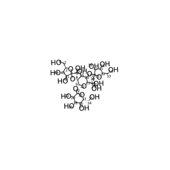 OC[C@H]1O[C@](CO)(O[C@H]2[C@@H](O[C@H]3O[C@H](CO)[C@@H](O)[C@H](O)[C@H]3O)O[C@H](CO)[C@@H](O[C@@]3(CO)O[C@H](CO)[C@@H](O)[C@@H]3O)[C@@H]2O)[C@@H](O)[C@@H]1O